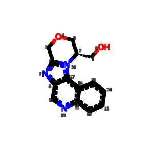 OC[C@H]1COCc2nc3cnc4ccccc4c3n21